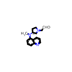 CN(c1cccc2ncccc12)[C@H]1CCN(C[C]=O)C1